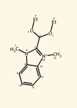 CCOC(OCC)c1n(C)c2ccccc2[n+]1C